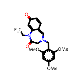 COc1cc(OC)c(CN2C=C3C=CC(=O)C=C3N(CC(F)(F)F)C(=O)C2)c(OC)c1